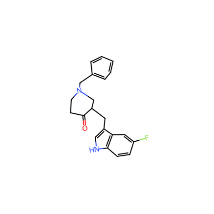 O=C1CCN(Cc2ccccc2)CC1Cc1c[nH]c2ccc(F)cc12